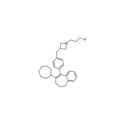 FCCCN1CC(Cc2ccc(C3=C(C4CCCCCC4)CCCc4ccccc43)cc2)C1